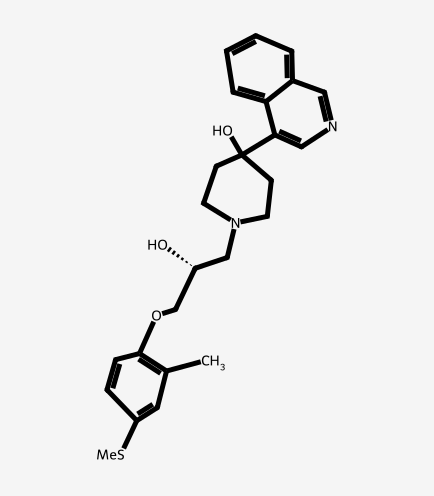 CSc1ccc(OC[C@H](O)CN2CCC(O)(c3cncc4ccccc34)CC2)c(C)c1